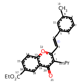 CCCc1c(/C=C/c2cccc(C)c2)oc2ccc(C(=O)OCC)cc2c1=O